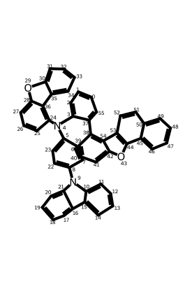 c1ccc(N(c2ccc(-n3c4ccccc4c4ccccc43)cc2)c2cccc3oc4ccccc4c23)c(-c2cccc3oc4c5ccccc5ccc4c23)c1